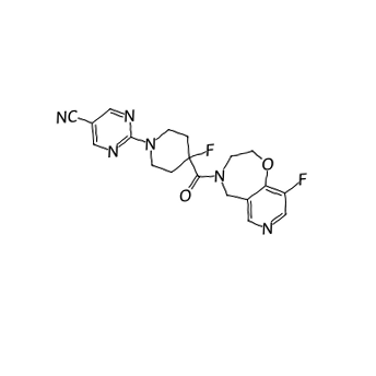 N#Cc1cnc(N2CCC(F)(C(=O)N3CCOc4c(F)cncc4C3)CC2)nc1